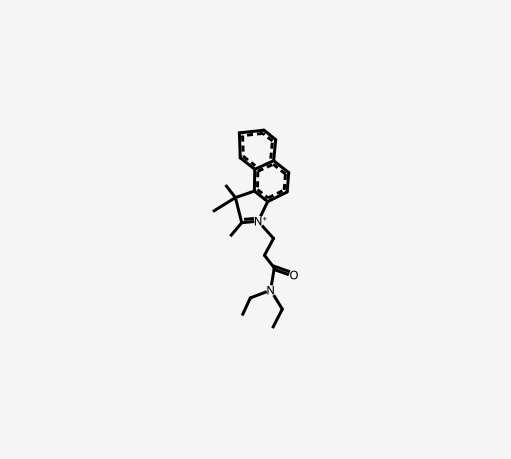 CCN(CC)C(=O)CC[N+]1=C(C)C(C)(C)c2c1ccc1ccccc21